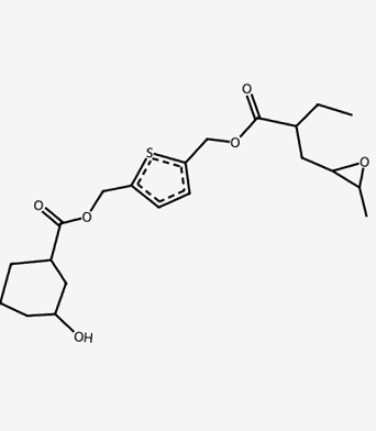 CCC(CC1OC1C)C(=O)OCc1ccc(COC(=O)C2CCCC(O)C2)s1